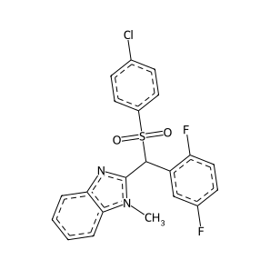 Cn1c(C(c2cc(F)ccc2F)S(=O)(=O)c2ccc(Cl)cc2)nc2ccccc21